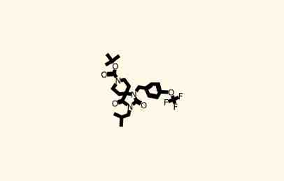 CC(C)CN1C(=O)N(Cc2ccc(OC(F)(F)F)cc2)C2(CCN(C(=O)OC(C)(C)C)CC2)C1=O